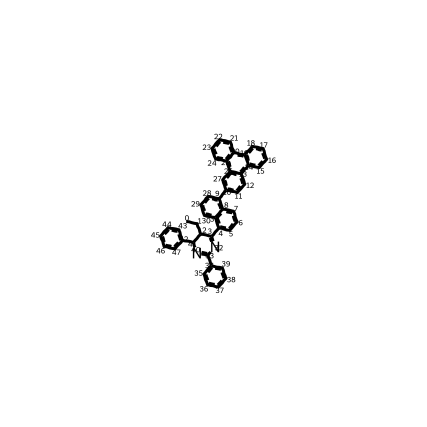 CCC1C(c2cccc3c(-c4ccc5c6ccccc6c6ccccc6c5c4)cccc23)=NC(c2ccccc2)=NC1c1ccccc1